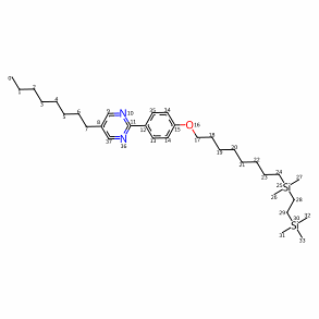 CCCCCCCCc1cnc(-c2ccc(OCCCCCCCC[Si](C)(C)CC[Si](C)(C)C)cc2)nc1